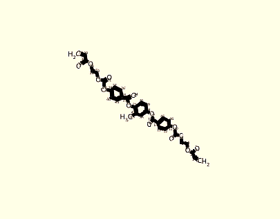 C=CC(=O)OCCOC(=O)Oc1ccc(C(=O)Oc2ccc(OC(=O)c3ccc(OC(=O)OCCOC(=O)C=C)cc3)c(C)c2)cc1